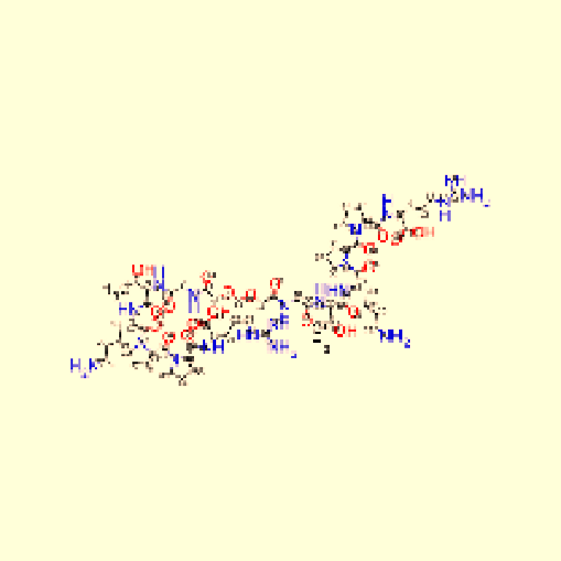 CC(O)C(NC(=O)CNC(=O)COCOCC(=O)NCC(=O)NC(C(=O)N[C@@H](CCCCN)C(=O)N1CCC[C@H]1C(=O)N1CCC[C@H]1C(=O)N[C@H](CCCNC(=N)N)C(=O)O)C(C)O)C(=O)N[C@@H](CCCCN)C(=O)N1CCC[C@H]1C(=O)N1CCC[C@H]1C(=O)N[C@H](CCCNC(=N)N)C(=O)O